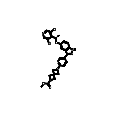 COC(=O)N1CC2(C1)CN(c1ccc(-c3n[nH]c4ccc(O[C@H](C)c5c(Cl)cncc5Cl)cc34)cn1)C2